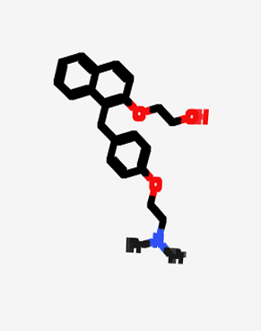 CC(C)N(CCOc1ccc(Cc2c(OCCO)ccc3ccccc23)cc1)C(C)C